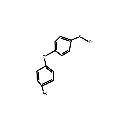 CC(=O)c1ccc(Oc2ccc(SC(C)C)cc2)cc1